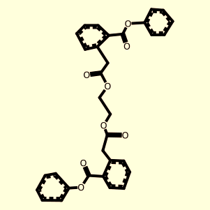 O=C(Cc1ccccc1C(=O)Oc1ccccc1)OCCOC(=O)Cc1ccccc1C(=O)Oc1ccccc1